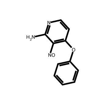 Nc1nccc(Oc2ccccc2)c1N=O